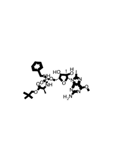 COc1nc(N)nc2c1nc(I)n2[C@@H]1O[C@H](COP(=O)(NCc2ccccc2)N[C@@H](C)C(=O)OCC(C)(C)C)[C@@H](O)[C@@]1(C)O